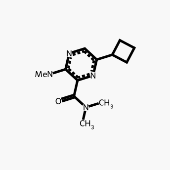 CNc1ncc(C2CCC2)nc1C(=O)N(C)C